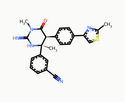 Cc1nc(-c2ccc([C@@H]3C(=O)N(C)C(=N)N[C@]3(C)c3cccc(C#N)c3)cc2)cs1